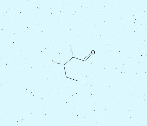 CC[C@H](C)[C@H](C)C=O